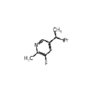 Cc1ncc(C(C)C(C)C)cc1F